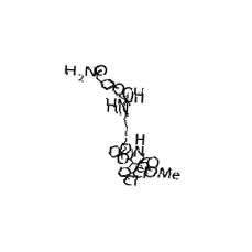 COC(=O)OC1=C(C)NC(C)=C(OC(=O)OCCCCCCNC(C)(O)COc2ccc(CC(N)=O)cc2)C1c1cccc(Cl)c1Cl